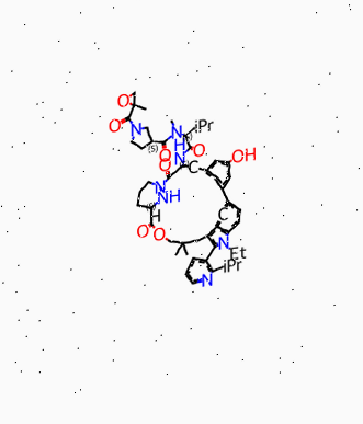 CCn1c(-c2cccnc2C(C)C)c2c3cc(ccc31)-c1cc(O)cc(c1)C[C@H](NC(=O)[C@H](C(C)C)N(C)C(=O)[C@H]1CCN(C(=O)C3(C)CO3)C1)C(=O)N1CCC[C@H](N1)C(=O)OCC(C)(C)C2